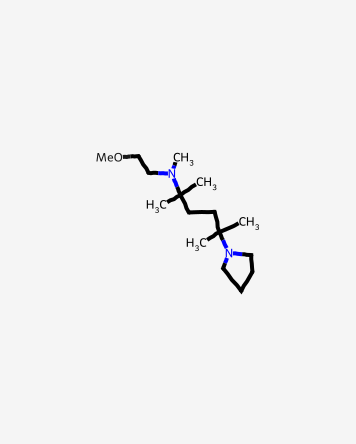 COCCN(C)C(C)(C)CCC(C)(C)N1CCCC1